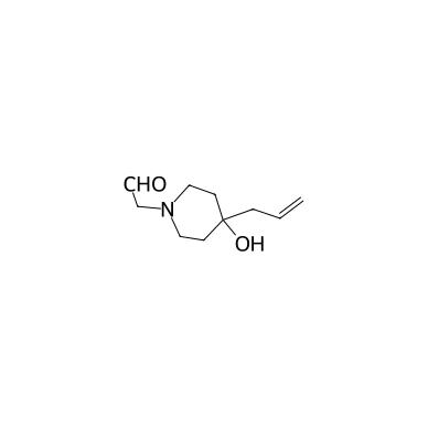 C=CCC1(O)CCN(CC=O)CC1